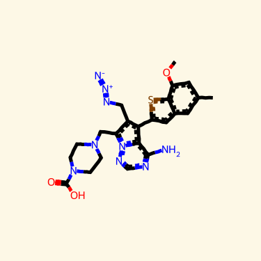 COc1cc(C)cc2cc(-c3c(CN=[N+]=[N-])c(CN4CCN(C(=O)O)CC4)n4ncnc(N)c34)sc12